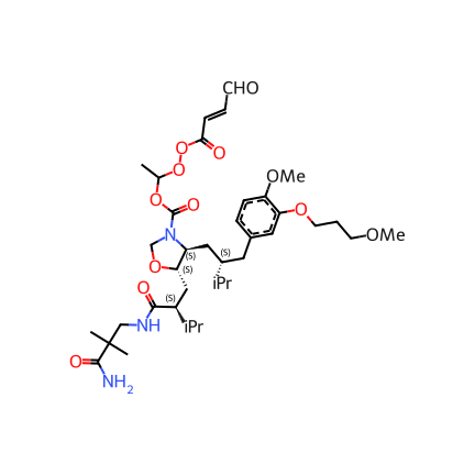 COCCCOc1cc(C[C@@H](C[C@H]2[C@H](C[C@H](C(=O)NCC(C)(C)C(N)=O)C(C)C)OCN2C(=O)OC(C)OOC(=O)C=CC=O)C(C)C)ccc1OC